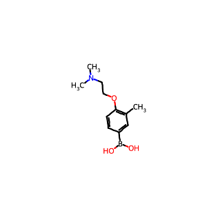 Cc1cc(B(O)O)ccc1OCCN(C)C